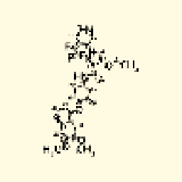 CCOc1cn(-c2cnccc2C(F)(F)F)nc1C(=O)Nc1ccc(Oc2ccnc3cc(OC)c(OC)cc23)c(F)c1